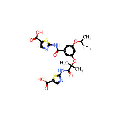 CC(C)Oc1cc(OC(C)(C)C(=O)Nc2ncc(C(=O)O)s2)cc(C(=O)Nc2ncc(C(=O)O)s2)c1